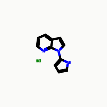 Cl.c1c[nH]c(-n2ccc3cccnc32)c1